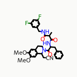 COc1cc2c(cc1OC)C(CC#N)N(C(=O)C(Cc1ccccc1)NC(=O)C(C)C(=O)NCc1cc(F)cc(F)c1)CC2